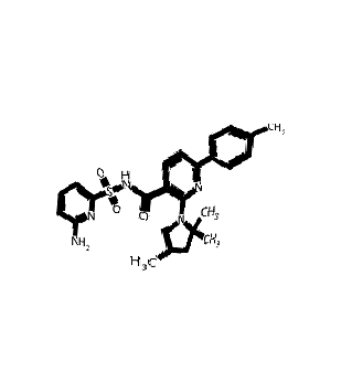 Cc1ccc(-c2ccc(C(=O)NS(=O)(=O)c3cccc(N)n3)c(N3CC(C)CC3(C)C)n2)cc1